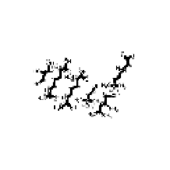 CC(C)C[C@H](N)C(=O)[O-].C[N+](C)(C)CCO.C[N+](C)(C)CCO.N=C(N)NCCC[C@H](N)C(=O)O.N=C(N)NCCC[C@H](N)C(=O)O.NCC(=O)[O-].OCC(O)CO